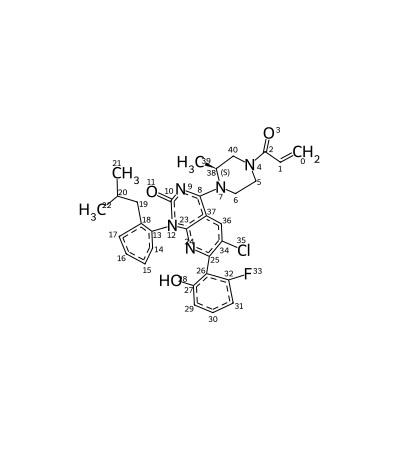 C=CC(=O)N1CCN(c2nc(=O)n(-c3ccccc3CC(C)C)c3nc(-c4c(O)cccc4F)c(Cl)cc23)[C@@H](C)C1